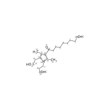 CCCCCCCCCCCCCCCCCC(=O)c1c(C)c(CC(=O)O)n(CCCCCCCCCCCC)c1C